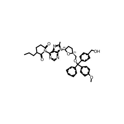 CCCC1CCC(=O)N(c2ncnc3c2nc(C)n3[C@H]2CC[C@@H](COC(c3ccccc3)(c3ccc(CO)cc3)c3ccc(OC)cc3)O2)C1=O